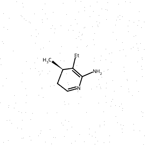 CCC1=C(N)N=CC[C@H]1C